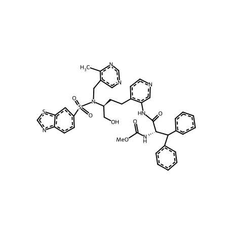 COC(=O)N[C@H](C(=O)Nc1cnccc1CC[C@@H](CO)N(Cc1cncnc1C)S(=O)(=O)c1ccc2ncsc2c1)C(c1ccccc1)c1ccccc1